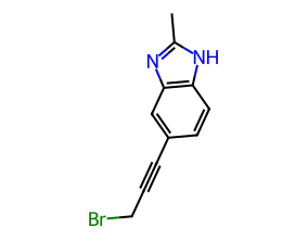 Cc1nc2cc(C#CCBr)ccc2[nH]1